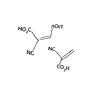 C=C(C#N)C(=O)O.CCCCCCCCC=C(C#N)C(=O)O